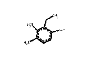 CCc1c(O)ccc(C)c1N